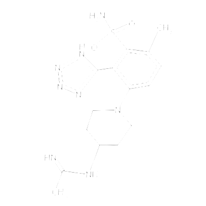 CC(=N)NC1CCN(c2ccc(C)c(S(N)(=O)=O)c2-c2nnn[nH]2)CC1